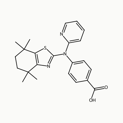 CC1(C)CCC(C)(C)c2sc(N(c3ccc(C(=O)O)cc3)c3ccccn3)nc21